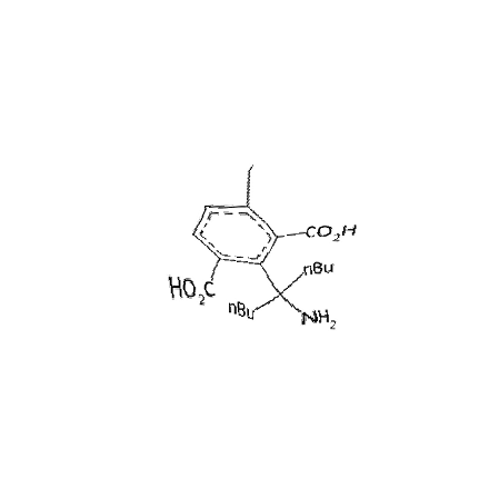 CCCCC(N)(CCCC)c1c(C(=O)O)ccc(C)c1C(=O)O